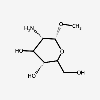 CO[C@@H]1OC(CO)[C@H](O)C(O)[C@@H]1N